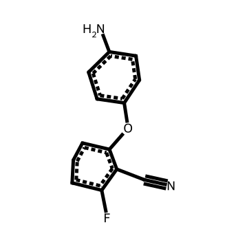 N#Cc1c(F)cccc1Oc1ccc(N)cc1